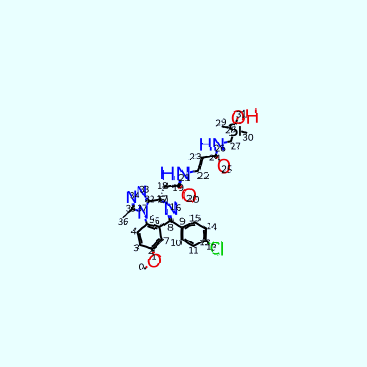 COc1ccc2c(c1)C(c1ccc(Cl)cc1)=N[C@@H](CC(=O)NCCC(=O)NC[Si](C)(C)O)c1nnc(C)n1-2